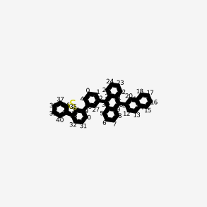 c1cc(-c2c3ccccc3c(-c3ccc4ccccc4c3)c3ccccc23)cc(-c2cccc3c2sc2ccccc23)c1